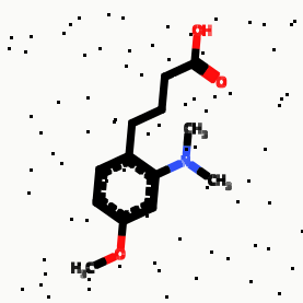 COc1ccc(CCCC(=O)O)c(N(C)C)c1